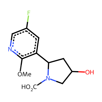 COc1ncc(F)cc1C1CC(O)CN1C(=O)O